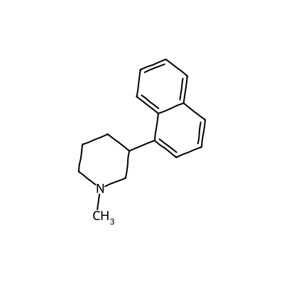 CN1CCCC(c2cccc3ccccc23)C1